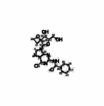 O=C(Nc1nc(Cl)c2ncn([C@@H]3O[C@H](CO)[C@@H](O)[C@]34CCO4)c2n1)c1ccccc1